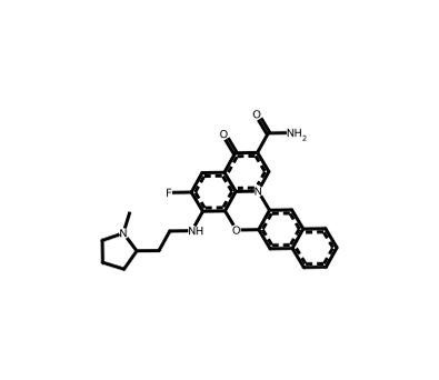 CN1CCCC1CCNc1c(F)cc2c(=O)c(C(N)=O)cn3c2c1Oc1cc2ccccc2cc1-3